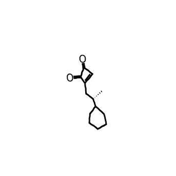 C[C@@H](Cc1cc(=O)c1=O)C1CCCCC1